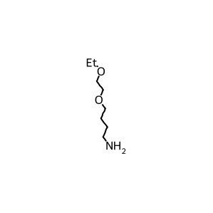 CCOCCOCCCCN